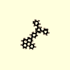 c1ccc(-c2cc(-c3ccc(-c4nc(-c5cccnc5)cc(-c5cccnc5)n4)cc3)nc3ccc4ccccc4c23)cc1